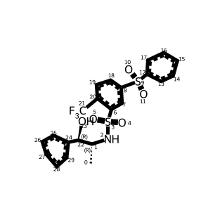 C[C@@H](NS(=O)(=O)c1cc(S(=O)(=O)c2ccccc2)ccc1C(F)(F)F)[C@H](O)c1ccccc1